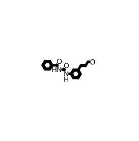 [O]CC=Cc1cccc(NC(=O)NC(=O)c2ccccc2)c1